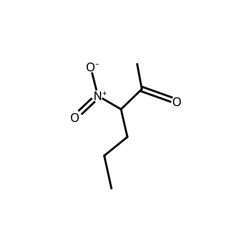 CCCC(C(C)=O)[N+](=O)[O-]